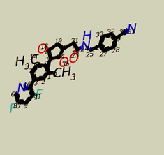 Cc1cc(-c2ncc(F)cc2F)cc(C)c1C1C(=O)CC(CC(=O)NCc2ccc(C#N)cc2)C1=O